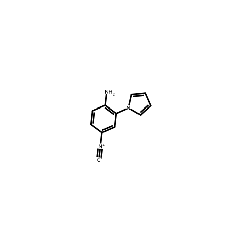 [C-]#[N+]c1ccc(N)c(-n2cccc2)c1